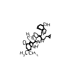 Cc1c(C(=O)NC(CCC2CC2)C(=O)N2CCc3c(O)cccc32)[nH]c2c1C(=O)CC(C)(C)C2